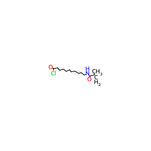 C=C(C)C(=O)NCCCCCCCCCCC(=O)Cl